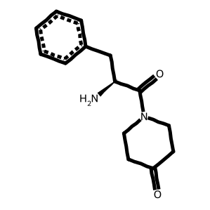 N[C@@H](Cc1ccccc1)C(=O)N1CCC(=O)CC1